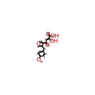 COc1ccc(Cc2cocc2C(=O)/C=C(\O)C(=O)O)cc1